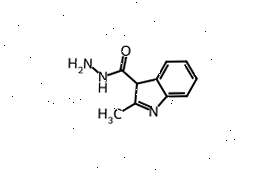 CC1=Nc2ccccc2C1C(=O)NN